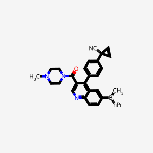 CCCB(C)c1ccc2ncc(C(=O)N3CCN(C)CC3)c(-c3ccc(C4(C#N)CC4)cc3)c2c1